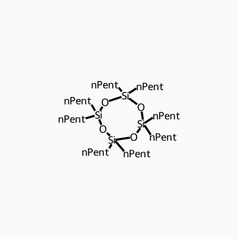 CCCCC[Si]1(CCCCC)O[Si](CCCCC)(CCCCC)O[Si](CCCCC)(CCCCC)O[Si](CCCCC)(CCCCC)O1